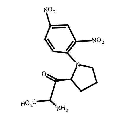 NC(C(=O)O)C(=O)[C@@H]1CCCN1c1ccc([N+](=O)[O-])cc1[N+](=O)[O-]